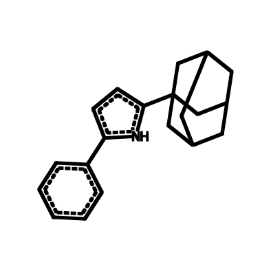 c1ccc(-c2ccc(C34CC5CC(CC(C5)C3)C4)[nH]2)cc1